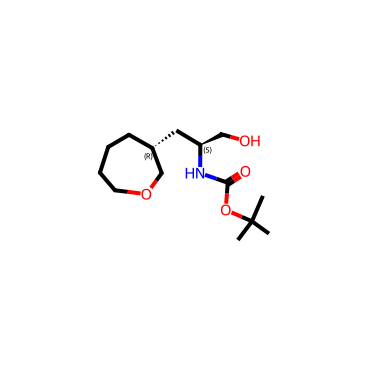 CC(C)(C)OC(=O)N[C@H](CO)C[C@H]1CCCCOC1